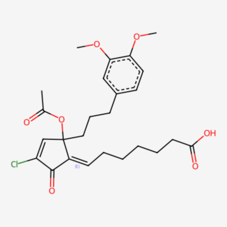 COc1ccc(CCCC2(OC(C)=O)C=C(Cl)C(=O)/C2=C/CCCCCC(=O)O)cc1OC